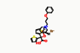 O=C(O)C(O[C@H]1C[N+]2(CCCOc3ccccc3)CCC1CC2)(c1cccs1)c1cccs1.[Br-]